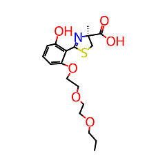 CCCOCCOCCOc1cccc(O)c1C1=N[C@@](C)(C(=O)O)CS1